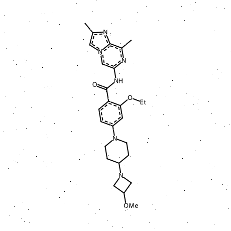 CCOc1cc(N2CCC(N3CC(OC)C3)CC2)ccc1C(=O)Nc1cn2cc(C)nc2c(C)n1